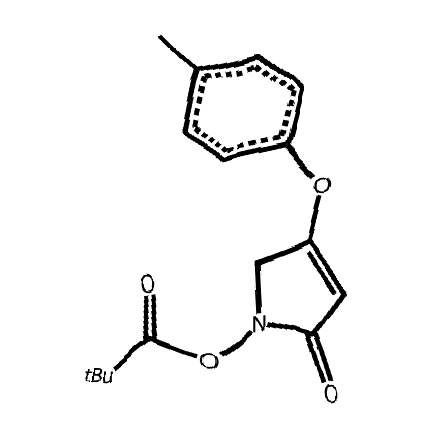 Cc1ccc(OC2=CC(=O)N(OC(=O)C(C)(C)C)C2)cc1